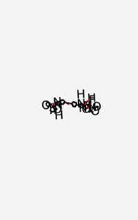 COC(=O)N[C@H](C(=O)N1C[C@@H](CF)C[C@H]1c1ncc(-c2ccc(C#Cc3ccc4nc([C@@H]5C[C@]6(CCOC6)CN5C(=O)[C@@H](C)C(C)C)[nH]c4c3)cc2)[nH]1)C(C)C